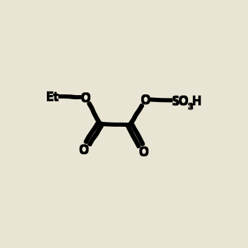 CCOC(=O)C(=O)OS(=O)(=O)O